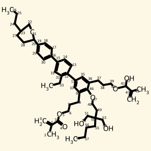 C=C(C)C(=O)OCCCc1cc(-c2ccc(-c3ccc(C4CCC(CCC)CC4)cc3)cc2CC)cc(CCCOC(O)C(=C)C)c1OCCC(CO)(CO)CCCC